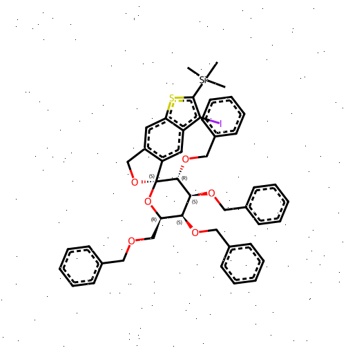 C[Si](C)(C)c1sc2cc3c(cc2c1I)[C@]1(OC3)O[C@H](COCc2ccccc2)[C@H](OCc2ccccc2)[C@H](OCc2ccccc2)[C@H]1OCc1ccccc1